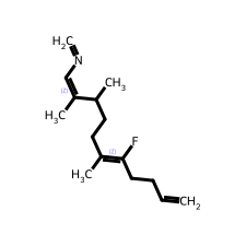 C=CCC/C(F)=C(\C)CCC(C)/C(C)=C\N=C